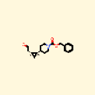 O=CC[C@H]1C[C@@H]1C1CCN(C(=O)OCc2ccccc2)CC1